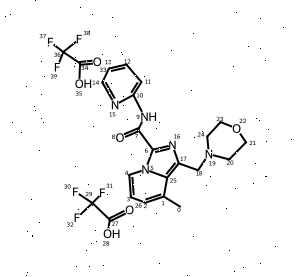 Cc1cccn2c(C(=O)Nc3ccccn3)nc(CN3CCOCC3)c12.O=C(O)C(F)(F)F.O=C(O)C(F)(F)F